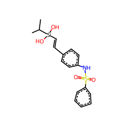 CC(C)[Si](O)(O)C=Cc1ccc(NS(=O)(=O)c2ccccc2)cc1